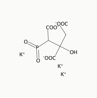 O=C([O-])CC(O)(C(=O)[O-])C(C(=O)[O-])P(=O)=O.[K+].[K+].[K+]